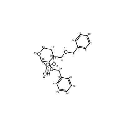 OC1O[C@@]2(COCc3ccccc3)CCOC1C2OCc1ccccc1